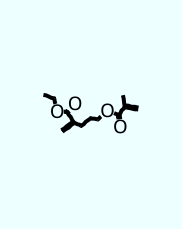 C=C(C)C(=O)OCCCC(=C)C(=O)OCC